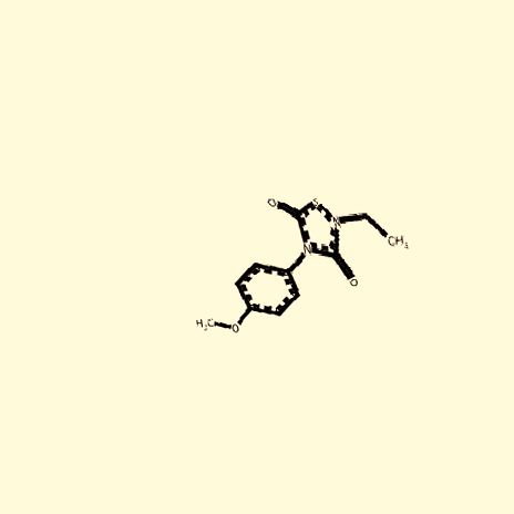 CCn1sc(=O)n(-c2ccc(OC)cc2)c1=O